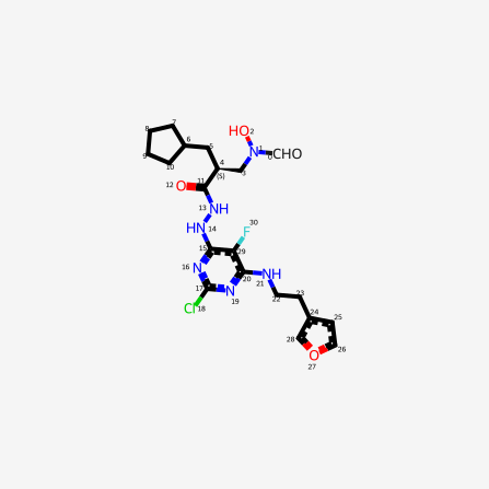 O=CN(O)C[C@H](CC1CCCC1)C(=O)NNc1nc(Cl)nc(NCCc2ccoc2)c1F